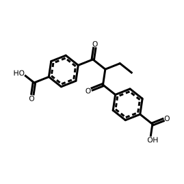 CCC(C(=O)c1ccc(C(=O)O)cc1)C(=O)c1ccc(C(=O)O)cc1